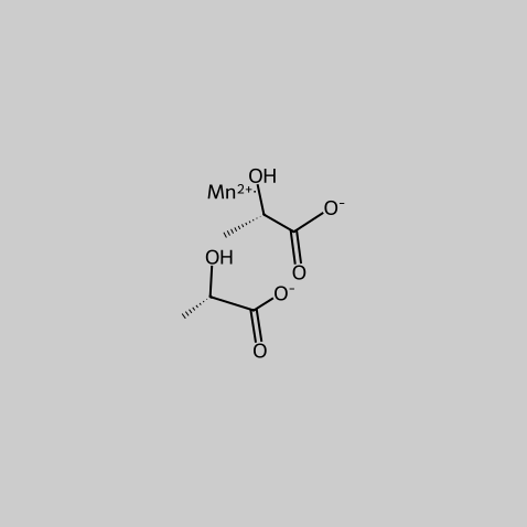 C[C@H](O)C(=O)[O-].C[C@H](O)C(=O)[O-].[Mn+2]